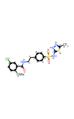 COc1ccc(Cl)cc1C(=O)NCCc1ccc(S(=O)(=O)Nc2nnc(C(F)(F)F)s2)cc1